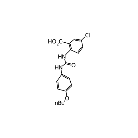 CCCCOc1ccc(NC(=O)Nc2ccc(Cl)cc2C(=O)O)cc1